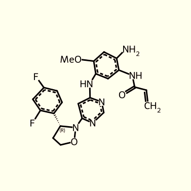 C=CC(=O)Nc1cc(Nc2cc(N3OCC[C@@H]3c3ccc(F)cc3F)ncn2)c(OC)cc1N